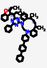 C=C/C(c1nc(-c2ccccc2)nc(N2CCN(c3ccc(-c4ccc(-c5ccccc5)cc4)cc3)c3ccccc3C(=C)/C=C\C(=C)c3ccccc32)n1)=c1\c(=C/C)oc2ccccc12